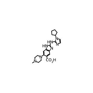 CN1CCN(c2cc3[nH]c(Nc4nccn4C4CCCC4)nc3cc2C(=O)O)CC1